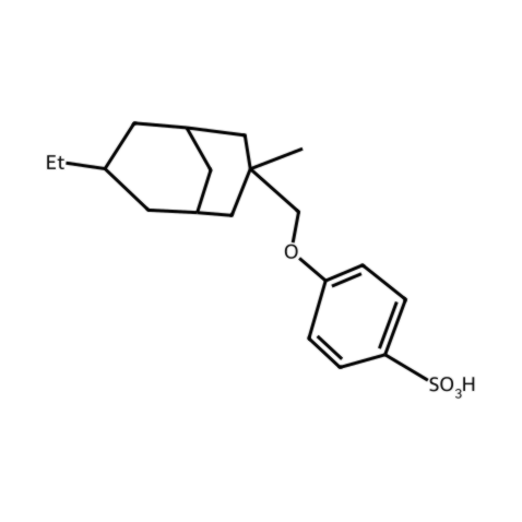 CCC1CC2CC(C1)CC(C)(COc1ccc(S(=O)(=O)O)cc1)C2